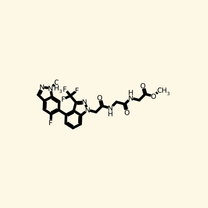 COC(=O)CNC(=O)CNC(=O)Cn1nc(C(F)(F)F)c2c(-c3cc4c(cnn4C)cc3F)cccc21